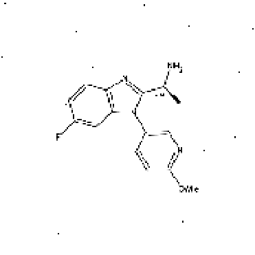 COc1ccc(-n2c([C@H](C)N)nc3ccc(F)cc32)cn1